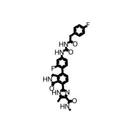 CNC(=O)c1nc(-c2ccc(-c3ccc(NC(=O)NC(=O)Cc4ccc(F)cc4)cc3F)c3c2C(=O)NC3)[nH]c1C